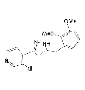 COc1cccc(Cc2cc(-c3ccncc3Cl)n[nH]2)c1OC